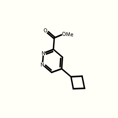 COC(=O)c1cc(C2CCC2)cnn1